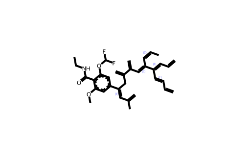 C=C/C=C/C(=C\C=C)C(/C=C\C)=C/C(=C)C(=C)C/C(=C\C(=C)C)c1cc(OC)c(C(=O)NCC)c(OC(F)F)c1